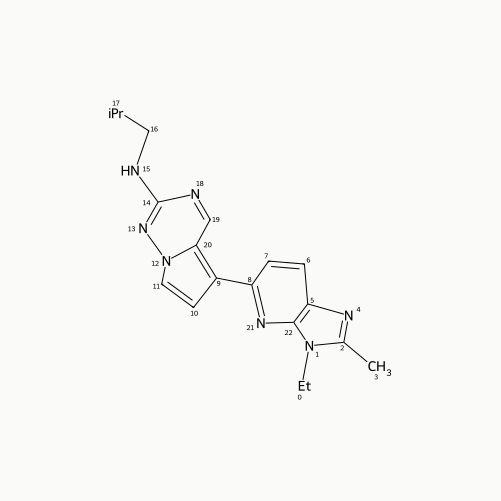 CCn1c(C)nc2ccc(-c3ccn4nc(NCC(C)C)ncc34)nc21